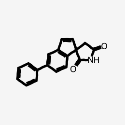 O=C1CC2(C=Cc3cc(-c4ccccc4)ccc32)C(=O)N1